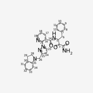 NC(=O)C(=O)C(Cc1ccccc1)NC(=O)c1cccnc1-n1ccc(CN2CCc3ccccc32)n1